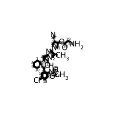 Cc1cn2nc([C@@H]3CCCCN3C(=O)c3cc(Cl)ccc3NS(C)(=O)=O)cc2nc1N1C[C@@H](C#N)[C@@H](OC(=O)CN)C1